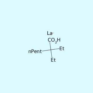 CCCCCC(CC)(CC)C(=O)O.[La]